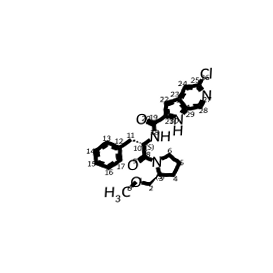 COC[C@@H]1CCCN1C(=O)[C@H](Cc1ccccc1)NC(=O)c1cc2cc(Cl)ncc2[nH]1